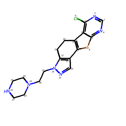 Clc1ncnc2sc3c(c12)CCc1c-3cnn1CCN1CCNCC1